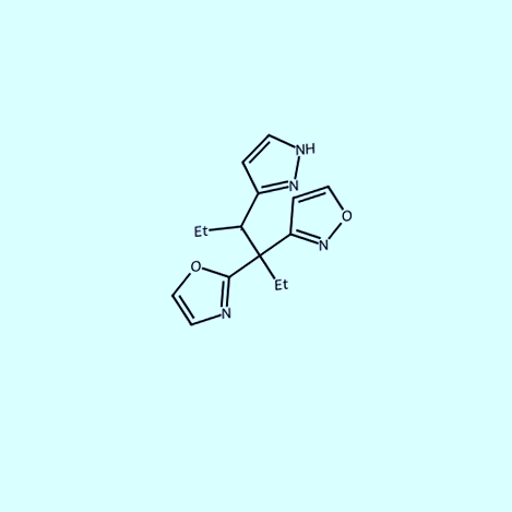 CC[C](c1cc[nH]n1)C(CC)(c1ccon1)c1ncco1